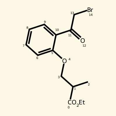 CCOC(=O)C(C)COc1ccccc1C(=O)CBr